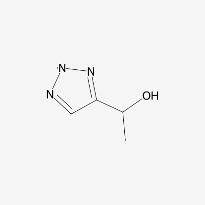 CC(O)C1=N[N]N=C1